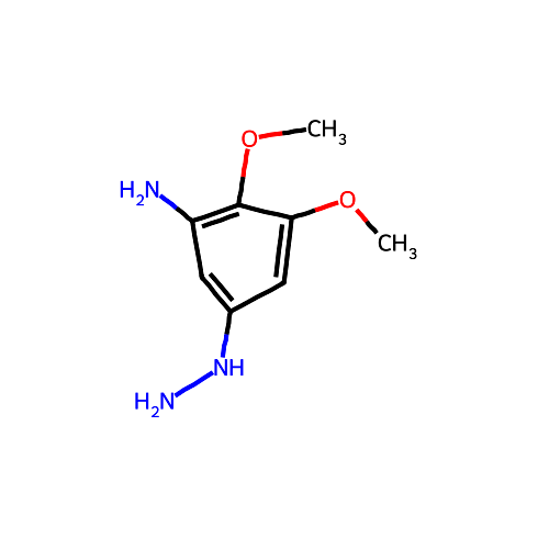 COc1cc(NN)cc(N)c1OC